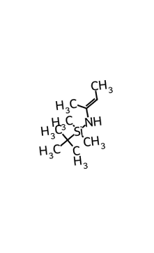 C/C=C(\C)N[Si](C)(C)C(C)(C)C